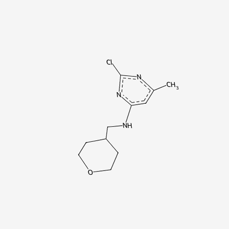 Cc1cc(NCC2CCOCC2)nc(Cl)n1